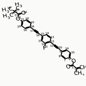 C=C(C)C(=O)Oc1ccc(C#Cc2ccc(C#Cc3ccc(OC(=O)C(C)(C)C)cc3)cc2F)cc1